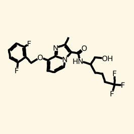 Cc1nc2c(OCc3c(F)cccc3F)cccn2c1C(=O)NC(CO)CCCC(F)(F)F